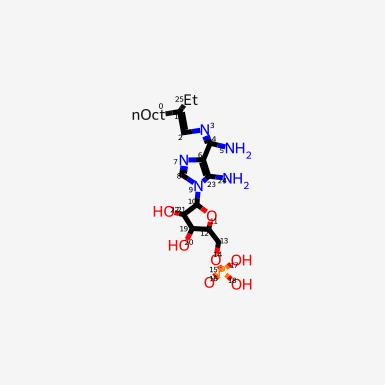 CCCCCCCC/C(=C/N=C(/N)c1ncn(C2OC(COP(=O)(O)O)C(O)C2O)c1N)CC